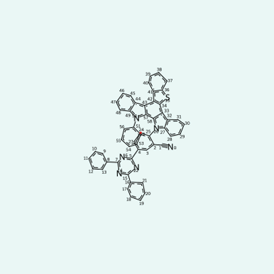 N#Cc1cc(-c2nc(-c3ccccc3)nc(-c3ccccc3)n2)ccc1-n1c2ccccc2c2c3sc4ccccc4c3c3c4ccccc4n(-c4ccccc4)c3c21